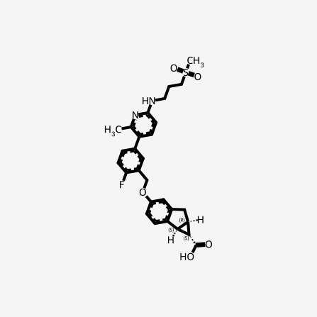 Cc1nc(NCCCS(C)(=O)=O)ccc1-c1ccc(F)c(COc2ccc3c(c2)C[C@H]2[C@H](C(=O)O)[C@@H]32)c1